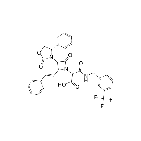 O=C(O)C(C(=O)NCc1cccc(C(F)(F)F)c1)N1C(=O)C(N2C(=O)OC[C@@H]2c2ccccc2)C1C=Cc1ccccc1